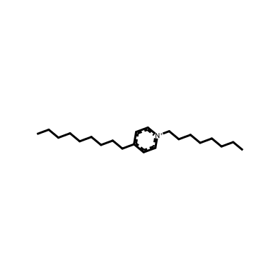 CCCCCCCCCc1cc[n+](CCCCCCCC)cc1